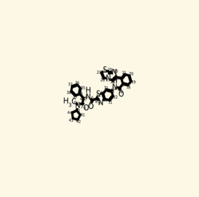 CN(C(=O)[C@@H](NC(=O)c1nc2ccc(NC(=O)c3ccccc3-c3cn4ccsc4n3)cc2s1)c1ccccc1)C1CCCC1